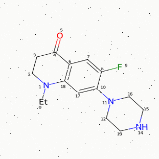 CCN1CCC(=O)c2cc(F)c(N3CCNCC3)cc21